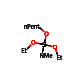 CCCCCO[Si](NC)(OCC)OCC